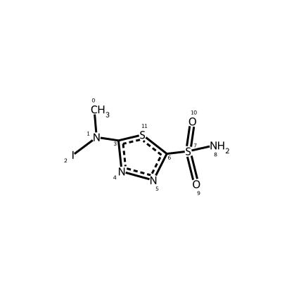 CN(I)c1nnc(S(N)(=O)=O)s1